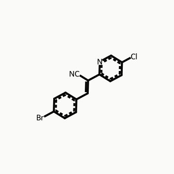 N#C/C(=C\c1ccc(Br)cc1)c1ccc(Cl)cn1